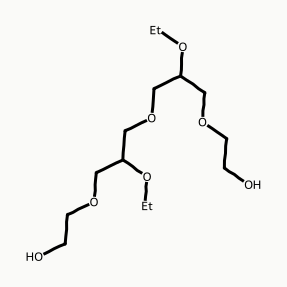 CCOC(COCCO)COCC(COCCO)OCC